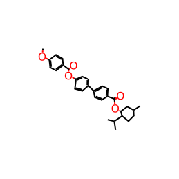 COc1ccc(C(=O)Oc2ccc(-c3ccc(C(=O)OC4CC(C)CCC4C(C)C)cc3)cc2)cc1